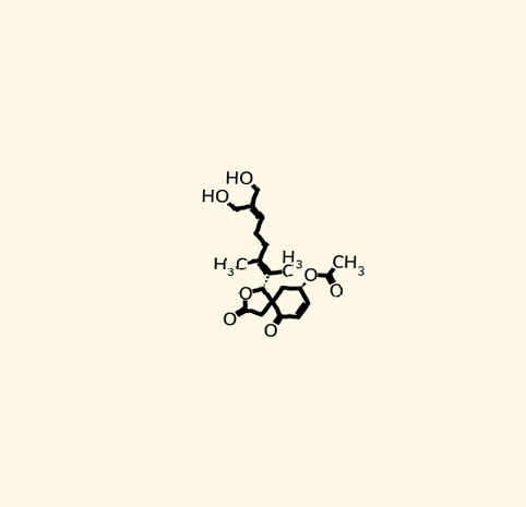 CC(=O)O[C@@H]1C=CC(=O)C2(CC(=O)O[C@@H]2/C(C)=C(\C)CCC=C(CO)CO)C1